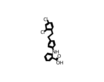 O=C(O)c1ccccc1Nc1ccc(CCc2ccc(Cl)cc2Cl)cc1